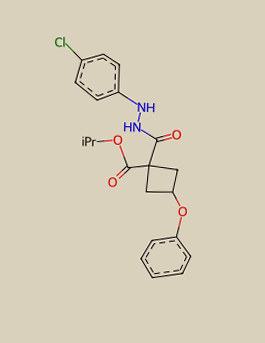 CC(C)OC(=O)C1(C(=O)NNc2ccc(Cl)cc2)CC(Oc2ccccc2)C1